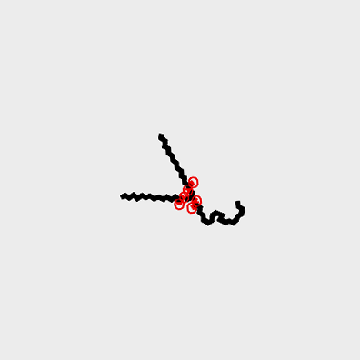 CC/C=C\C/C=C\C/C=C\C/C=C\C/C=C\CCCC(=O)OC(COC(=O)CCCCCCCCCCCCCC)COC(=O)CCCCCCCCCCCCCC